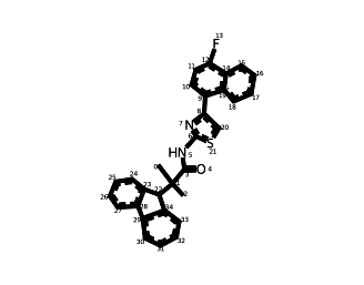 CC(C)(C(=O)Nc1nc(-c2ccc(F)c3ccccc23)cs1)C1c2ccccc2-c2ccccc21